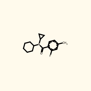 Cc1ccc(C(=O)N(C2CCCCC2)C2CC2)c(F)c1